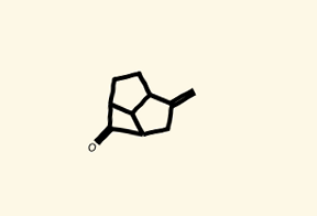 C=C1CC2C(=O)C3CCC1C32